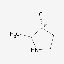 CC1NCC[C@H]1Cl